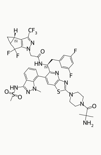 Cn1nc(NS(C)(=O)=O)c2cccc(-c3cc4sc(N5CCN(C(=O)C(C)(C)N)CC5)nc4nc3[C@H](Cc3cc(F)cc(F)c3)NC(=O)Cn3nc(C(F)(F)F)c4c3C(F)(F)C3C[C@H]43)c21